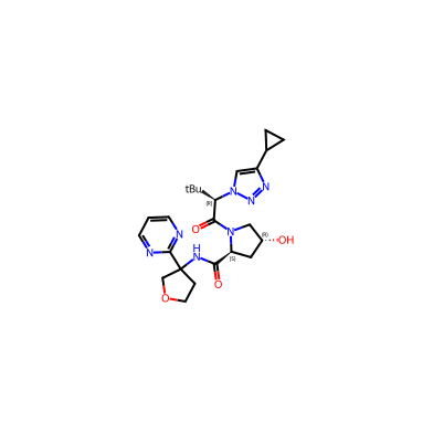 CC(C)(C)[C@H](C(=O)N1C[C@H](O)C[C@H]1C(=O)NC1(c2ncccn2)CCOC1)n1cc(C2CC2)nn1